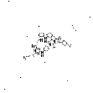 COc1ccc(NC(=O)c2cc3ccc4c5ccccc5[nH]c4c3c(N=Nc3ccc(Nc4nc(NCCCN(C)C)nc(NCCCN(C)C)n4)cc3)c2O)cc1